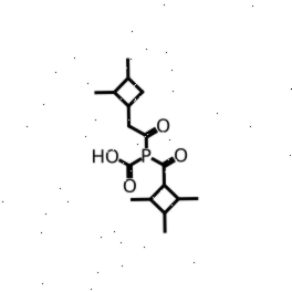 CC1CC(CC(=O)P(C(=O)O)C(=O)C2C(C)C(C)C2C)C1C